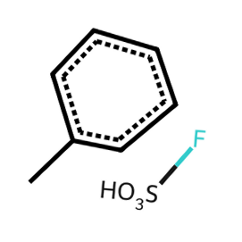 Cc1ccccc1.O=S(=O)(O)F